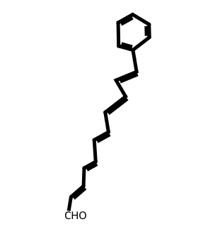 O=CC=CC=CC=CC=CC=Cc1ccccc1